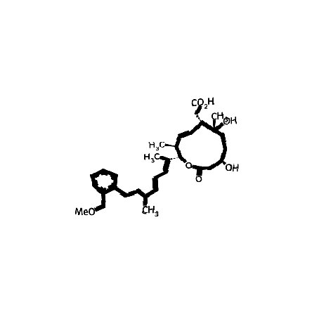 COCc1ccccc1CCC(C)/C=C/C=C(\C)[C@H]1OC(=O)C[C@H](O)CC[C@@](C)(O)[C@@H](CC(=O)O)/C=C/[C@@H]1C